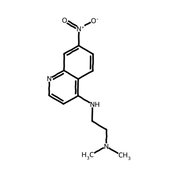 CN(C)CCNc1ccnc2cc([N+](=O)[O-])ccc12